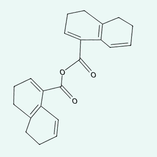 O=C(OC(=O)C1=CCCC2=C1C=CCC2)C1=CCCC2=C1C=CCC2